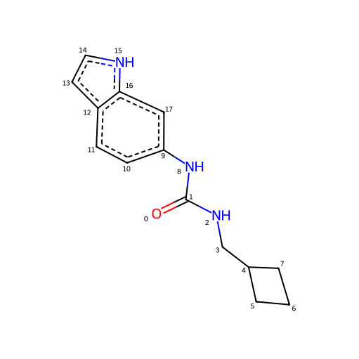 O=C(NCC1CCC1)Nc1ccc2cc[nH]c2c1